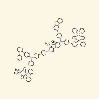 CC1(C)c2cc(-c3ccc(-c4ccc(N(c5ccc(-c6ccc7c(c6)C6(c8ccccc8-7)c7ccccc7C(C)(C)c7ccccc76)cc5)c5ccc(-c6ccccc6-c6ccccc6)cc5)cc4)cc3)ccc2-c2ccc(N(c3ccc(-c4ccc5c(c4)C4(c6ccccc6-5)c5ccccc5C(c5ccccc5)(c5ccccc5)c5ccccc54)cc3)c3ccc(-c4ccc5sc6ccccc6c5c4)cc3)cc21